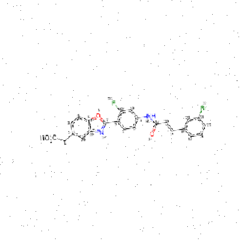 O=C(O)Cc1ccc2oc(-c3ccc(NC(=O)C=Cc4cccc(Br)c4)cc3F)nc2c1